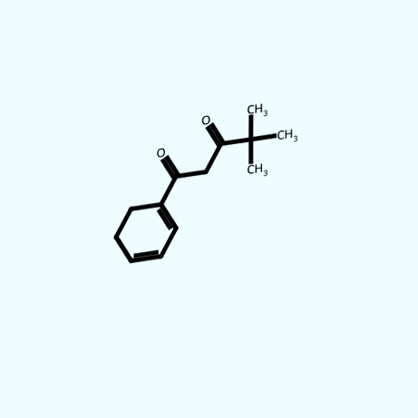 CC(C)(C)C(=O)CC(=O)C1=CC=CCC1